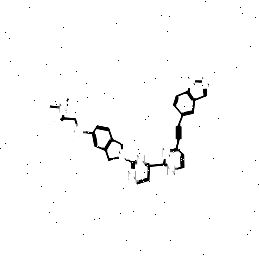 CN(C)C(=O)COc1ccc2c(c1)CN(c1nccc(-c3nccc(C#Cc4ccc5[nH]ncc5c4)n3)n1)C2